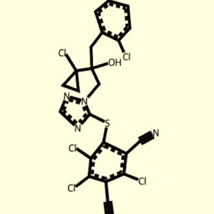 N#Cc1c(Cl)c(Cl)c(Sc2ncnn2CC(O)(Cc2ccccc2Cl)C2(Cl)CC2)c(C#N)c1Cl